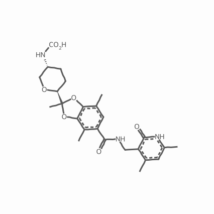 Cc1cc(C)c(CNC(=O)c2cc(C)c3c(c2C)OC(C)([C@@H]2CC[C@@H](NC(=O)O)CO2)O3)c(=O)[nH]1